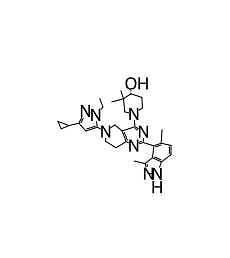 CCn1nc(C2CC2)cc1N1CCc2nc(-c3c(C)ccc4[nH]nc(C)c34)nc(N3CC[C@@H](O)C(C)(C)C3)c2C1